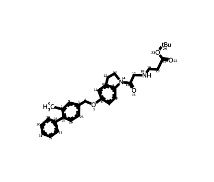 Cc1cc(COc2ccc3c(c2)CCN3C(=O)CNCCC(=O)OC(C)(C)C)ccc1-c1ccccc1